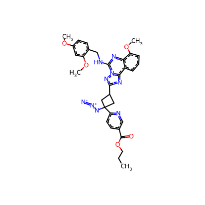 CCCOC(=O)c1ccc(C2(N=[N+]=[N-])CC(c3nc4c5cccc(OC)c5nc(NCc5ccc(OC)cc5OC)n4n3)C2)nc1